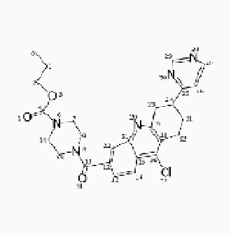 CCCOC(=O)N1CCN(C(=O)c2ccc3c(Cl)c4c(nc3c2)CC(c2ccncn2)CC4)CC1